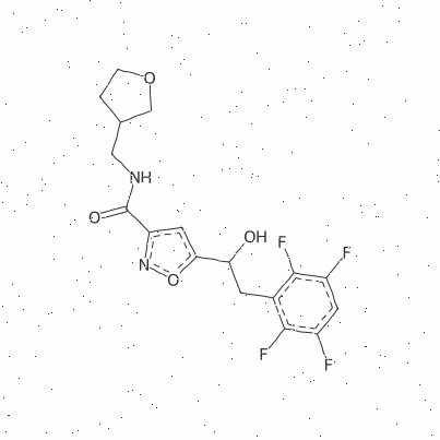 O=C(NCC1CCOC1)c1cc(C(O)Cc2c(F)c(F)cc(F)c2F)on1